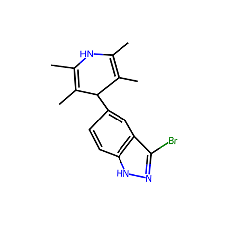 CC1=C(C)C(c2ccc3[nH]nc(Br)c3c2)C(C)=C(C)N1